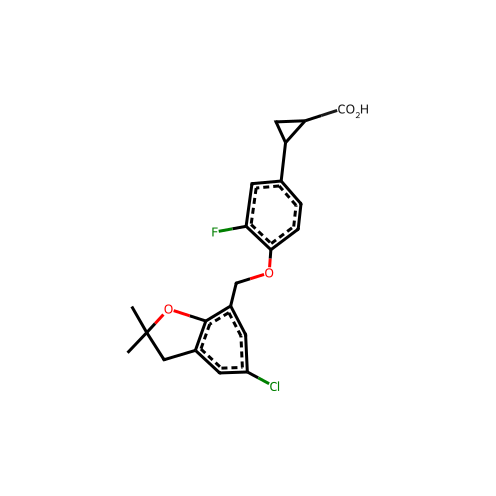 CC1(C)Cc2cc(Cl)cc(COc3ccc(C4CC4C(=O)O)cc3F)c2O1